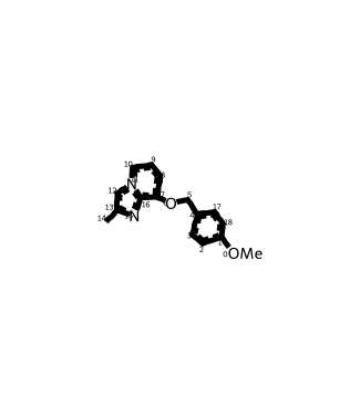 COc1ccc(COc2cccn3cc(C)nc23)cc1